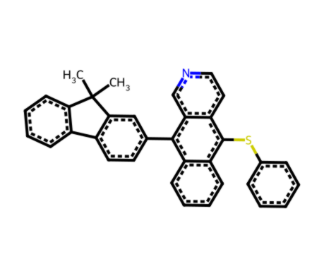 CC1(C)c2ccccc2-c2ccc(-c3c4ccccc4c(Sc4ccccc4)c4ccncc34)cc21